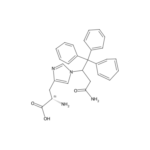 NC(=O)CC(n1cnc(C[C@H](N)C(=O)O)c1)C(c1ccccc1)(c1ccccc1)c1ccccc1